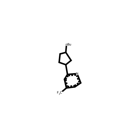 CCCCC1CCC(c2cc(C(F)(F)F)ccn2)C1